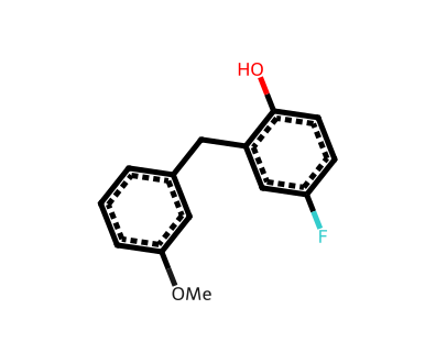 COc1cccc(Cc2cc(F)ccc2O)c1